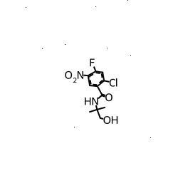 CC(C)(CO)NC(=O)c1cc([N+](=O)[O-])c(F)cc1Cl